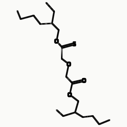 CCCCC(CC)COC(=O)COCC(=S)OCC(CC)CCCC